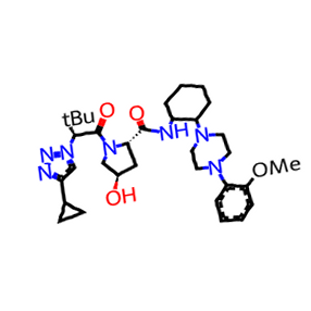 COc1ccccc1N1CCN(C2CCCCC2NC(=O)[C@@H]2C[C@@H](O)CN2C(=O)[C@@H](n2cc(C3CC3)nn2)C(C)(C)C)CC1